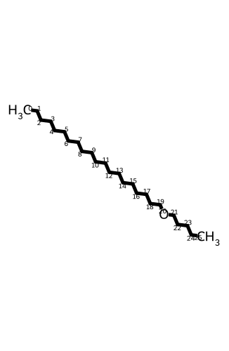 CCCCCCCCCCCCCCCCCCCCOCCCCC